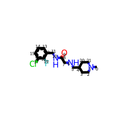 CN1CCC(CNCC(=O)NCc2cccc(Cl)c2F)CC1